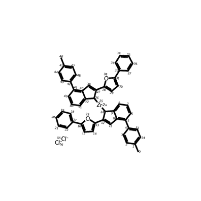 Cc1ccc(-c2cccc3c2C=C(c2ccc(-c4ccccc4)o2)[CH]3[Zr+2][CH]2C(c3ccc(-c4ccccc4)o3)=Cc3c(-c4ccc(C)cc4)cccc32)cc1.[Cl-].[Cl-]